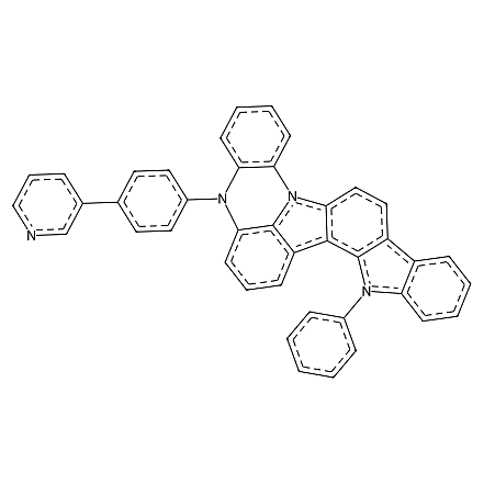 c1ccc(-n2c3ccccc3c3ccc4c(c5cccc6c5n4-c4ccccc4N6c4ccc(-c5cccnc5)cc4)c32)cc1